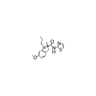 CCC[C@@H]1c2cc(OC)ccc2C[C@@]1(C)C(=O)Nc1nccs1